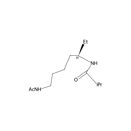 CC[C@H](CCCCNC(C)=O)NC(=O)C(C)C